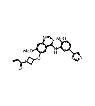 C=CC(=O)N1CC(Oc2cc3c(Nc4cc(-c5cncs5)ccc4OC)ncnc3cc2OC)C1